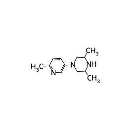 Cc1ccc(N2CC(C)NC(C)C2)cn1